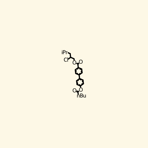 CCCCC(=O)Oc1ccc(-c2ccc(C(=O)OCC(Cl)CC(C)C)cc2)cc1